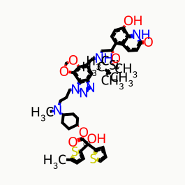 Cc1ccc([C@](O)(C(=O)O[C@H]2CC[C@H](N(C)CCCn3nnc4cc(CNCC(O[Si](C)(C)C(C)(C)C)c5ccc(O)c6[nH]c(=O)ccc56)c5c(c43)OCO5)CC2)c2cccs2)s1